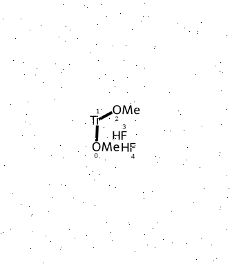 C[O][Ti][O]C.F.F